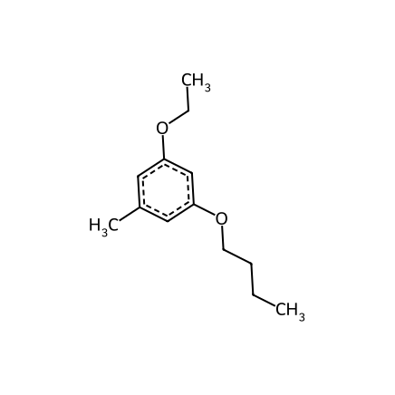 CCCCOc1cc(C)cc(OCC)c1